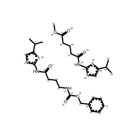 CC(C)c1cnc(NC(=O)CCCNC(=O)OCc2ccccc2)s1.COC(=O)CCCC(=O)Nc1ncc(C(C)C)s1